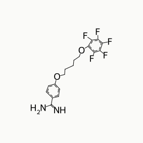 N=C(N)c1ccc(OCCCCCOc2c(F)c(F)c(F)c(F)c2F)cc1